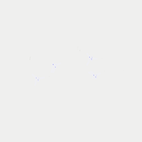 CC1CCCN1c1ccc(-c2nc3c(Cl)cccc3n2C)cn1